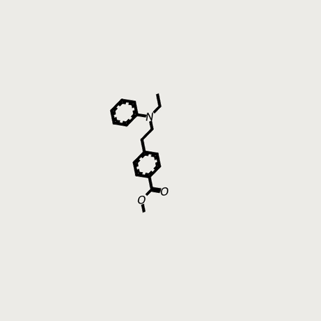 CCN(CCc1ccc(C(=O)OC)cc1)c1ccccc1